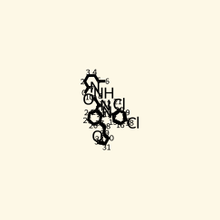 CC1CCCC(C)N1NC(=O)c1nn(-c2ccc(Cl)cc2Cl)c2c1CCC/C2=C\c1ccco1